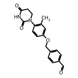 Cc1cc(OCc2ccc(C=O)cc2)ccc1N1CCC(=O)NC1=O